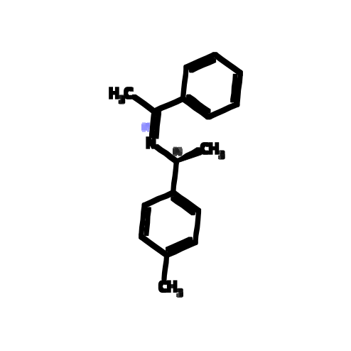 C/C(=N/[C@@H](C)c1ccc(C)cc1)c1ccccc1